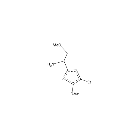 CCc1cc(C(N)COC)sc1OC